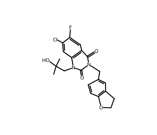 CC(C)(O)Cn1c(=O)n(Cc2ccc3c(c2)CCO3)c(=O)c2cc(F)c(Cl)cc21